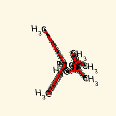 CCCCCCCCCCCCCCCCCCCCCCCCCCCCC[CH2][Pd][CH2]CCCCCCCCCCCCCCCCCCCCCCCCCCCCC.CCCCCCCCc1cc(CCCCCCCC)cc(C2=C(CC)C=C(c3cc(CCCCCC)cc(CCCCCC)c3)[N+]2=[N-])c1